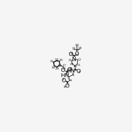 COC(=O)C[C@H](CNC(=O)C1CCN(C(=O)OC(C)(C)C)CC1)NC(=O)OCc1ccccc1